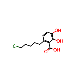 O=C(O)c1c(CCCCCCl)ccc(O)c1O